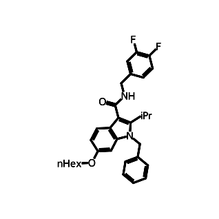 CCCCCCOc1ccc2c(C(=O)NCc3ccc(F)c(F)c3)c(C(C)C)n(Cc3ccccc3)c2c1